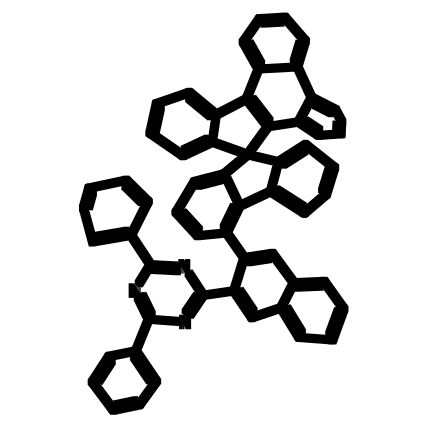 c1ccc(-c2nc(-c3ccccc3)nc(-c3cc4ccccc4cc3-c3cccc4c3-c3ccccc3C43c4ccccc4-c4c3c3ccccc3c3ccccc43)n2)cc1